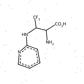 NC(C(=O)O)C(Nc1ccccn1)C(F)(F)F